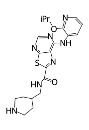 CC(C)Oc1ncccc1Nc1ncnc2sc(C(=O)NCC3CCNCC3)nc12